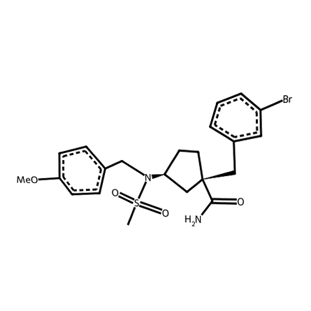 COc1ccc(CN([C@H]2CC[C@](Cc3cccc(Br)c3)(C(N)=O)C2)S(C)(=O)=O)cc1